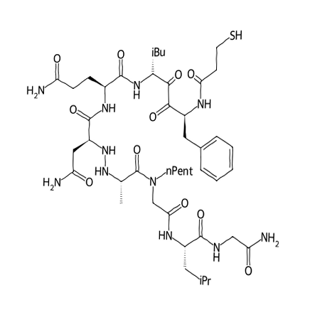 CCCCCN(CC(=O)N[C@@H](CC(C)C)C(=O)NCC(N)=O)C(=O)[C@H](C)NN[C@@H](CC(N)=O)C(=O)N[C@@H](CCC(N)=O)C(=O)NC(C(=O)C(=O)[C@H](Cc1ccccc1)NC(=O)CCS)[C@@H](C)CC